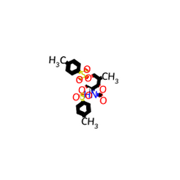 Cc1ccc(S(=O)(=O)OCC(C)C2OC(=O)N[C@H]2COS(=O)(=O)c2ccc(C)cc2)cc1